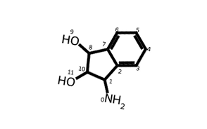 NC1c2ccccc2C(O)C1O